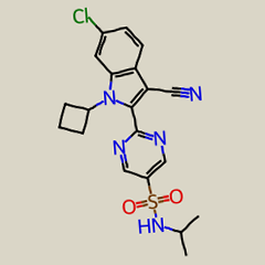 CC(C)NS(=O)(=O)c1cnc(-c2c(C#N)c3ccc(Cl)cc3n2C2CCC2)nc1